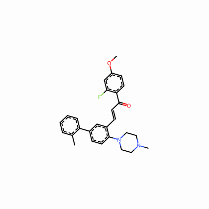 COc1ccc(C(=O)C=Cc2cc(-c3ccccc3C)ccc2N2CCN(C)CC2)c(F)c1